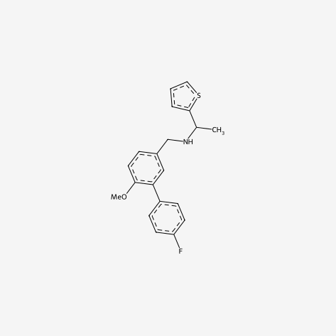 COc1ccc(CNC(C)c2cccs2)cc1-c1ccc(F)cc1